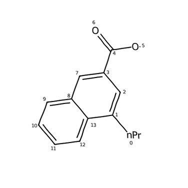 CCCc1cc(C([O])=O)cc2ccccc12